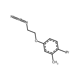 Cc1cc(OCCN=[N+]=[N-])ccc1C(C)C